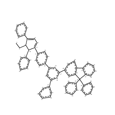 CCC1C(c2ccccc2)=CC=C(c2ccc(-c3cc(-c4ccccc4)nc(-c4ccc5c(c4)C(c4ccccc4)(c4ccccc4)c4ccccc4-5)n3)cc2)C1c1ccccc1